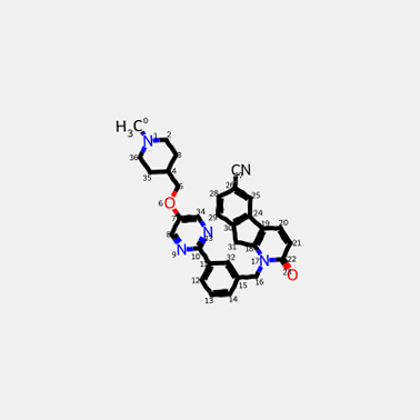 CN1CCC(COc2cnc(-c3cccc(Cn4c5c(ccc4=O)-c4cc(C#N)ccc4C5)c3)nc2)CC1